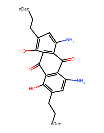 CCCCCCCCCCCCc1cc(N)c2c(c1O)C(=O)c1c(O)c(CCCCCCCCCCCC)cc(N)c1C2=O